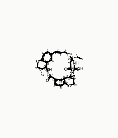 CC[C@]12CC/C=C/c3ccc4c(c3)[C@@H](NC(=O)c3ccc5c(c3)[C@@H](CCO5)N(C(=N)N1)C(=O)C2)[C@H](C)CO4